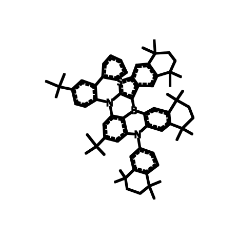 CC(C)(C)c1ccc(N2c3cc(C(C)(C)C)cc4c3B(c3cc5c(cc3N4c3ccc4c(c3)C(C)(C)CCC4(C)C)C(C)(C)CCC5(C)C)c3c2sc2cc4c(cc32)C(C)(C)CCC4(C)C)c(-c2ccccc2)c1